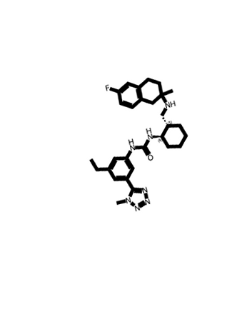 CCc1cc(NC(=O)N[C@@H]2CCCC[C@H]2CNC2(C)CCc3cc(F)ccc3C2)cc(-c2nnnn2C)c1